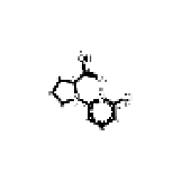 O=C(O)C1CCCN1c1cccc(Cl)n1